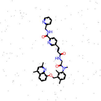 Cc1cc(C)c2cccc(OCc3c(C)ccc(N(C)C(=O)CNC(=O)/C=C/c4ccc(C(=O)NCc5ccccn5)nc4)c3C)c2n1